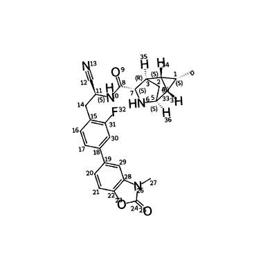 C[C@H]1[C@H]2[C@H]3C[C@H](N[C@@H]3C(=O)N[C@H](C#N)Cc3ccc(-c4ccc5oc(=O)n(C)c5c4)cc3F)[C@@H]12